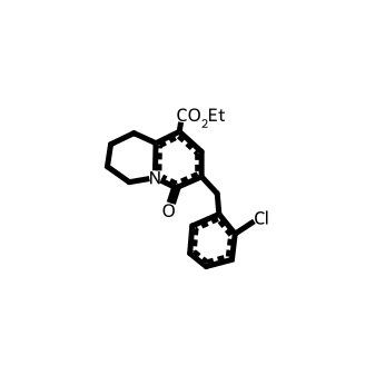 CCOC(=O)c1cc(Cc2ccccc2Cl)c(=O)n2c1CCCC2